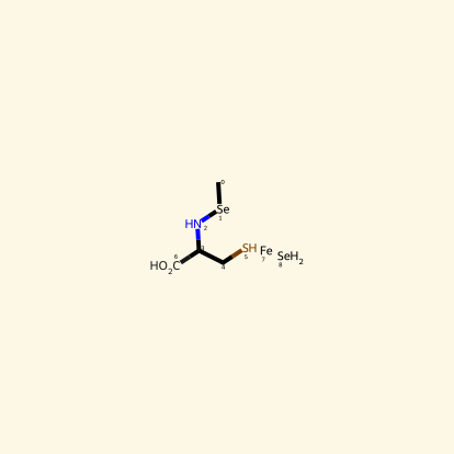 C[Se]NC(CS)C(=O)O.[Fe].[SeH2]